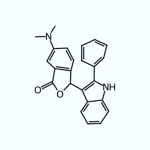 CN(C)c1ccc2c(c1)C(=O)OC2c1c(-c2ccccc2)[nH]c2ccccc12